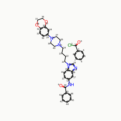 O=C(Cl)c1ccccc1.O=C(Nc1ccc2c(c1)ncn2CCCCN1CCN(c2ccc3c(c2)OCCO3)CC1)c1ccccc1